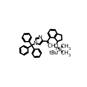 C=C(c1cn(C(c2ccccc2)(c2ccccc2)c2ccccc2)cn1)c1cccc2c1C(O[Si](C)(C)C(C)(C)C)CC2